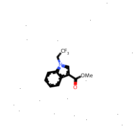 COC(=O)c1cn(CC(F)(F)F)c2ccccc12